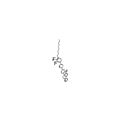 CCCCCCCCCc1ccc(-c2ccc(-c3ccc(C4CCC(OC)CO4)c(F)c3)cc2)c(F)c1F